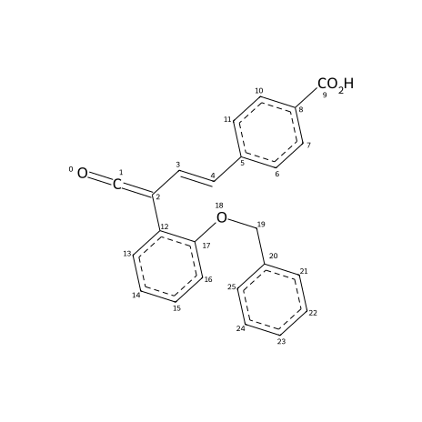 O=C=C(C=Cc1ccc(C(=O)O)cc1)c1ccccc1OCc1ccccc1